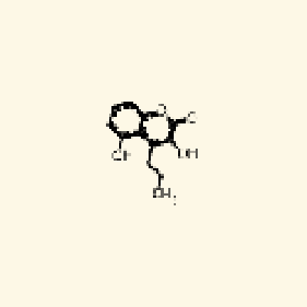 CCCc1c(O)c(=O)oc2cccc(O)c12